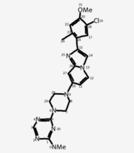 CNc1ncnc(N2CCN(c3ccn4cc(-c5cc(Cl)c(OC)cc5C)nc4c3)CC2)n1